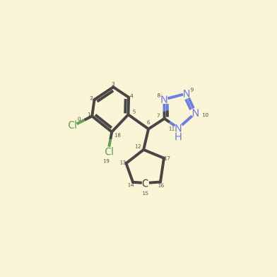 Clc1cccc(C(c2nnn[nH]2)C2CCCCC2)c1Cl